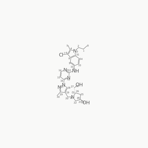 CCCn1c(C)c(Cl)c2cc(Nc3nccc(-n4cc(CN5C[C@H](O)C[C@H]5CO)c(C)n4)n3)ccc21